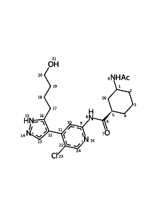 CC(=O)NC1CCC[C@@H](C(=O)Nc2cc(-c3cn[nH]c3CCCCO)c(Cl)cn2)C1